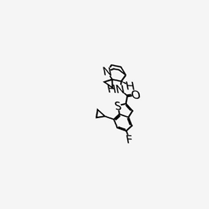 O=C(N[C@H]1C2CCN(CC2)C12CC2)c1cc2cc(F)cc(C3CC3)c2s1